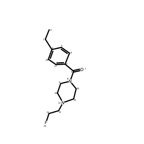 CCc1ccc(C(=O)N2CCN(CCF)CC2)cc1